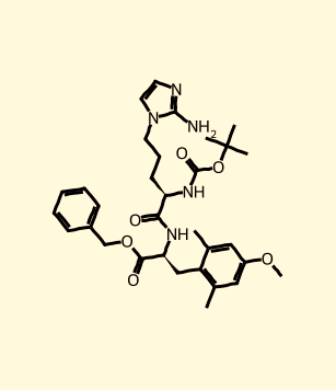 COc1cc(C)c(C[C@H](NC(=O)[C@@H](CCCn2ccnc2N)NC(=O)OC(C)(C)C)C(=O)OCc2ccccc2)c(C)c1